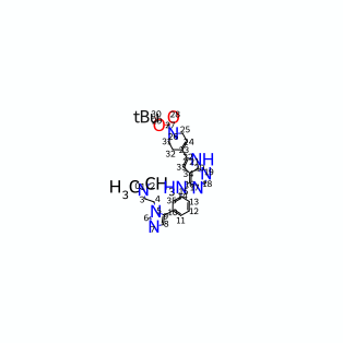 CN(C)CCn1cncc1-c1cccc(Nc2ncnc3[nH]c(C4=CCN(C(=O)OC(C)(C)C)CC4)cc23)c1